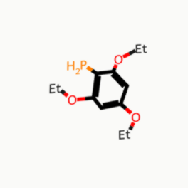 CCOc1cc(OCC)c(P)c(OCC)c1